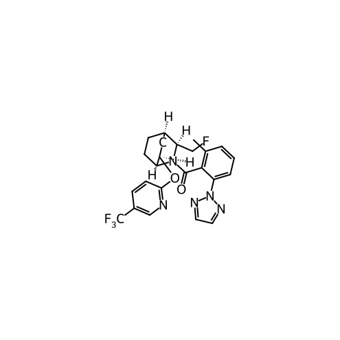 Cc1cccc(-n2nccn2)c1C(=O)N1[C@H](CF)[C@@H]2CC[C@H]1[C@H](Oc1ccc(C(F)(F)F)cn1)C2